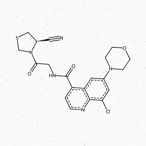 N#C[C@@H]1CSCN1C(=O)CNC(=O)c1ccnc2c(Cl)cc(N3CCOCC3)cc12